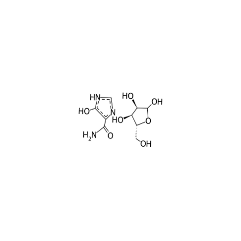 NC(=O)c1nc[nH]c1O.OC[C@H]1OC(O)[C@H](O)[C@@H]1O